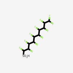 O=S(=O)(O)C(F)C(F)C(F)C(F)C(F)C(F)C(F)C(F)C(F)C(F)F